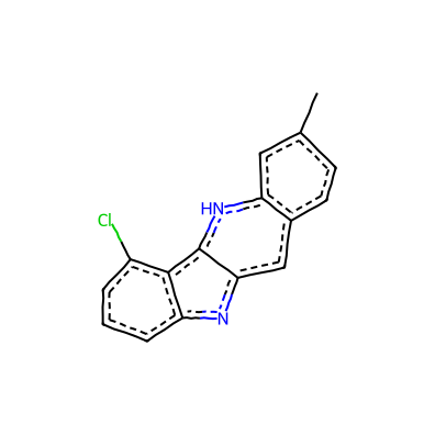 Cc1ccc2cc3nc4cccc(Cl)c4c-3[nH]c2c1